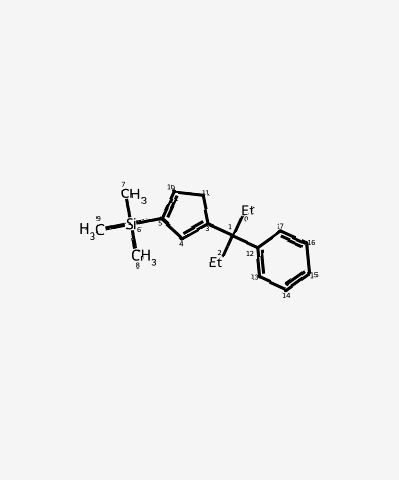 CCC(CC)(C1=CC([Si](C)(C)C)=CC1)c1ccccc1